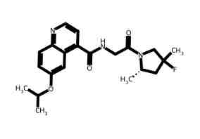 CC(C)Oc1ccc2nccc(C(=O)NCC(=O)N3CC(C)(F)C[C@@H]3C)c2c1